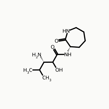 CC(C)[C@H](N)C(O)C(=O)N[C@H]1CCCCNC1=O